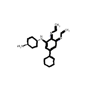 C=C/N=C1/C=C(C2CCCCC2)C=C(N[C@H]2CC[C@H](N)CC2)/C1=N/C=C